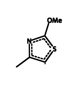 COc1nc(C)[c]s1